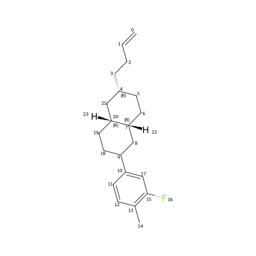 C=CCC[C@@H]1CC[C@@H]2CC(c3ccc(C)c(F)c3)CC[C@@H]2C1